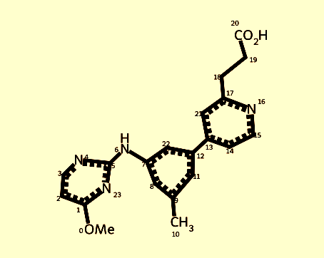 COc1ccnc(Nc2cc(C)cc(-c3ccnc(CCC(=O)O)c3)c2)n1